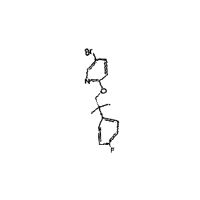 CC(C)(COc1ccc(Br)cn1)c1ccc(F)cc1